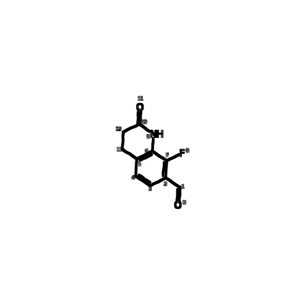 O=Cc1ccc2c(c1F)NC(=O)CC2